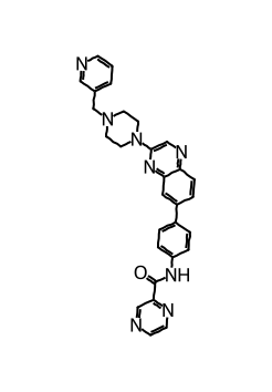 O=C(Nc1ccc(-c2ccc3ncc(N4CCN(Cc5cccnc5)CC4)nc3c2)cc1)c1cnccn1